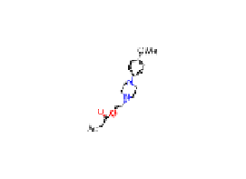 COc1ccc(N2CCN(CCOC(=O)CC(C)=O)CC2)cc1